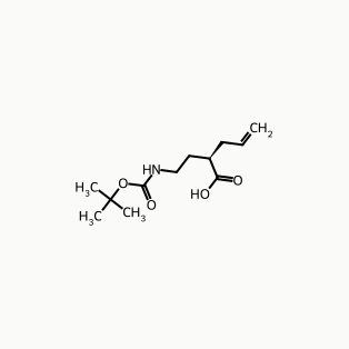 C=CC[C@H](CCNC(=O)OC(C)(C)C)C(=O)O